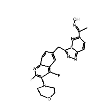 CC(=NO)c1ccc2nnc(Cc3ccc4nc(F)c(N5CCOCC5)c(F)c4c3)n2n1